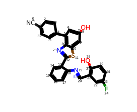 N#Cc1ccc(-c2cc(O)cc3sc(-c4ccccc4/N=C/c4cc(F)ccc4O)nc23)cc1